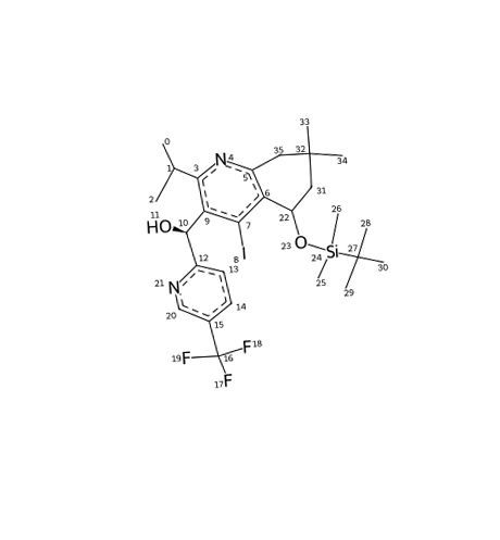 CC(C)c1nc2c(c(I)c1[C@H](O)c1ccc(C(F)(F)F)cn1)C(O[Si](C)(C)C(C)(C)C)CC(C)(C)C2